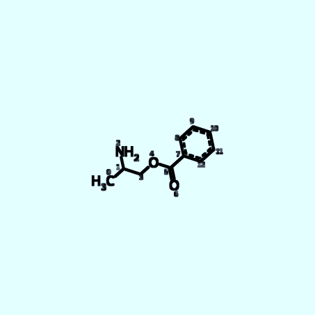 CC(N)COC(=O)c1ccccc1